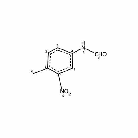 Cc1ccc(NC=O)cc1[N+](=O)[O-]